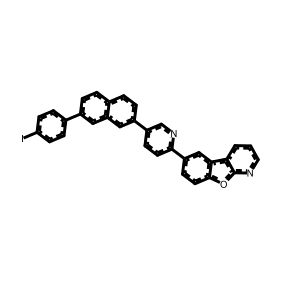 Ic1ccc(-c2ccc3ccc(-c4ccc(-c5ccc6oc7ncccc7c6c5)nc4)cc3c2)cc1